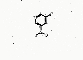 C[S+]([O-])c1cncc(F)c1